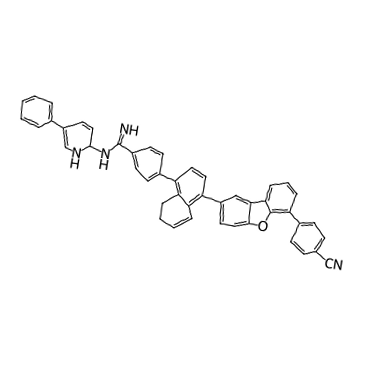 N#Cc1ccc(-c2cccc3c2oc2ccc(-c4ccc(-c5ccc(C(=N)NC6C=CC(c7ccccc7)=CN6)cc5)c5c4C=CCC5)cc23)cc1